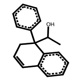 CC(O)C1(c2ccccc2)CC=Cc2ccccc21